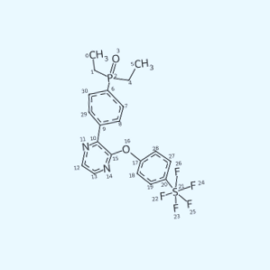 CCP(=O)(CC)c1ccc(-c2nccnc2Oc2ccc(S(F)(F)(F)(F)F)cc2)cc1